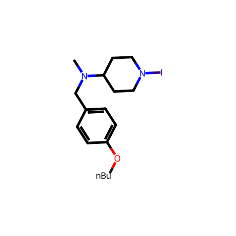 CCCCOc1ccc(CN(C)C2CCN(I)CC2)cc1